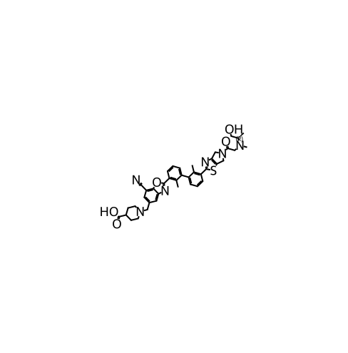 Cc1c(-c2nc3cc(CN4CCC(C(=O)O)CC4)cc(C#N)c3o2)cccc1-c1cccc(-c2nc3c(s2)CN(C(=O)CN(C)[C@H](C)CO)C3)c1C